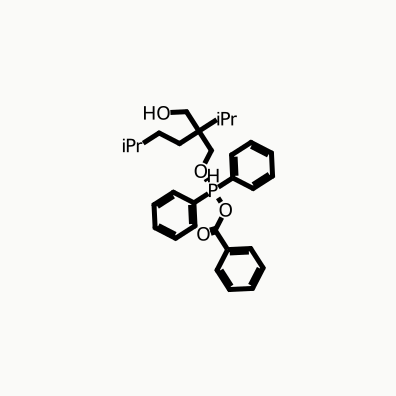 CC(C)CCC(CO)(CO[PH](OC(=O)c1ccccc1)(c1ccccc1)c1ccccc1)C(C)C